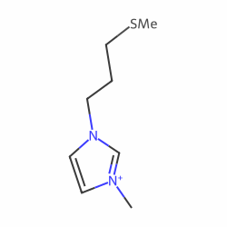 CSCCCn1cc[n+](C)c1